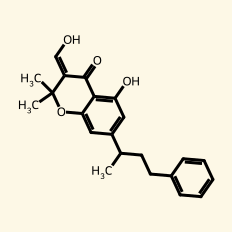 CC(CCc1ccccc1)c1cc(O)c2c(c1)OC(C)(C)C(=CO)C2=O